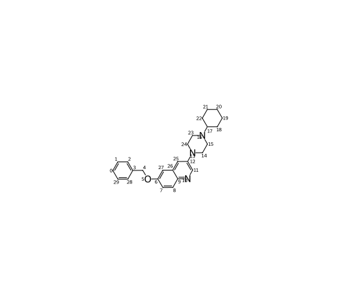 c1ccc(COc2ccc3ncc(N4CCN(C5CCCCC5)CC4)cc3c2)cc1